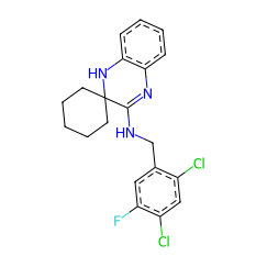 Fc1cc(CNC2=Nc3ccccc3NC23CCCCC3)c(Cl)cc1Cl